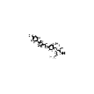 CCO[C@@H](Cc1ccc(OCc2csc(-c3ccc(Cl)cc3)n2)cc1C)C(=O)O